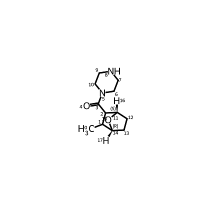 CC1C(C(=O)N2CCNCC2)[C@@H]2CC[C@H]1O2